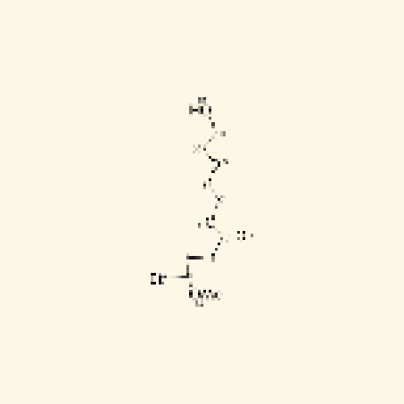 CCC(CCC(=O)OCCOCCO)OC